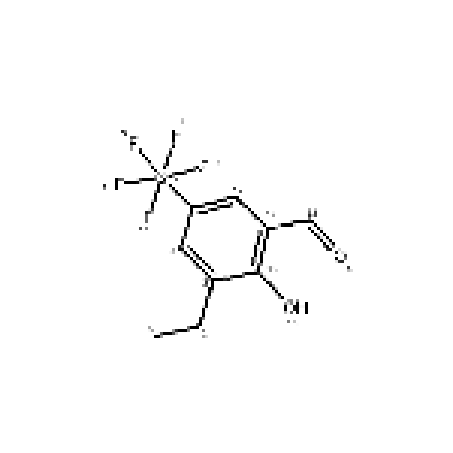 CCc1cc(S(F)(F)(F)(F)F)cc(C=O)c1O